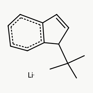 CC(C)(C)C1C=Cc2ccccc21.[Li]